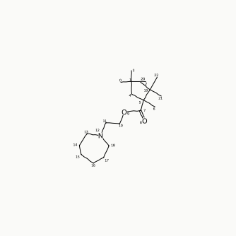 CC(C)(C)CC(C)(C(=O)OCCN1CCCCCC1)C(C)(C)C